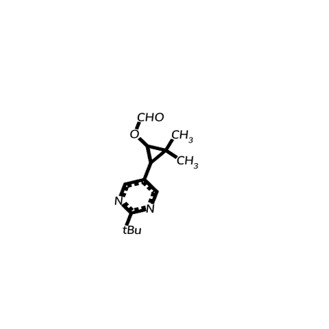 CC(C)(C)c1ncc(C2C(OC=O)C2(C)C)cn1